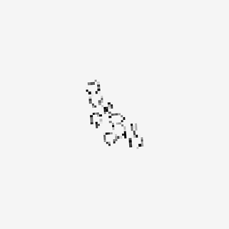 S=P(c1cccnc1)(c1ccc2ccccc2c1)c1ccc2c(c1)c1ccccc1n1c3ccccc3nc21